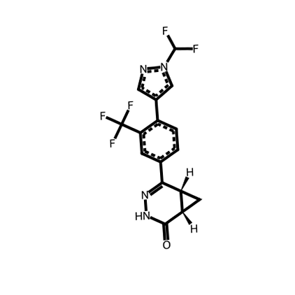 O=C1NN=C(c2ccc(-c3cnn(C(F)F)c3)c(C(F)(F)F)c2)[C@@H]2C[C@H]12